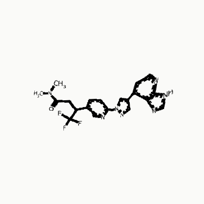 CN(C)C(=O)CC(c1ccc(-n2cc(-c3ccnc4[nH]cnc34)cn2)nc1)C(F)(F)F